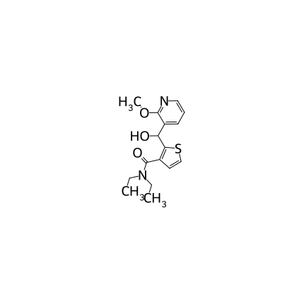 CCN(CC)C(=O)c1ccsc1C(O)c1cccnc1OC